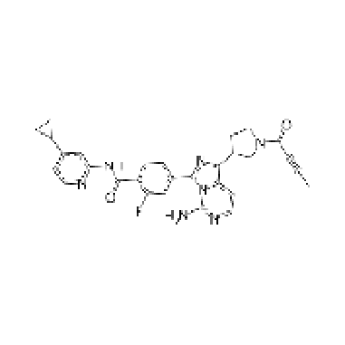 CC#CC(=O)N1CCC(c2nc(-c3ccc(C(=O)Nc4cc(C5CC5)ccn4)c(F)c3)n3c(N)nccc23)C1